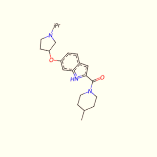 CC1CCN(C(=O)c2cc3ccc(OC4CCN(C(C)C)C4)cc3[nH]2)CC1